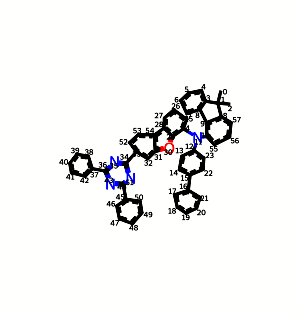 CC1(C)c2ccccc2-c2c(N(c3ccc(-c4ccccc4)cc3)c3cccc4c3oc3cc(-c5nc(-c6ccccc6)nc(-c6ccccc6)n5)ccc34)cccc21